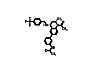 CC(=O)Nc1cccc(-c2ccc3c(c2)[C@H](NCc2ccc(C(F)(F)F)cc2)C[C@H](C)N3C(C)=O)c1